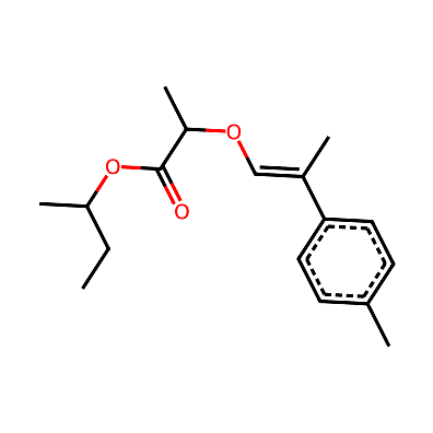 CCC(C)OC(=O)C(C)OC=C(C)c1ccc(C)cc1